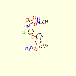 COc1cc2nccc(Oc3ccc(Nc4c(ONCC#N)c(=O)c4=O)c(Cl)c3)c2cc1C(N)=O